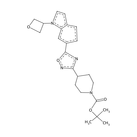 CC(C)(C)OC(=O)N1CCC(c2noc(-c3ccc4ccn(C5COC5)c4c3)n2)CC1